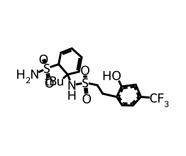 CC(C)(C)C1(NS(=O)(=O)CCc2ccc(C(F)(F)F)cc2O)C=CC=CC1S(N)(=O)=O